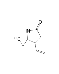 C=CC1CC(=O)NC12C[13CH2]2